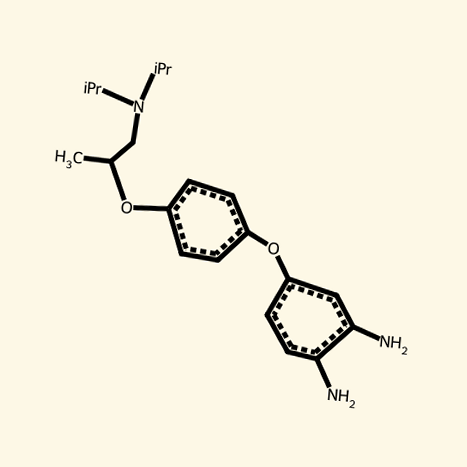 CC(CN(C(C)C)C(C)C)Oc1ccc(Oc2ccc(N)c(N)c2)cc1